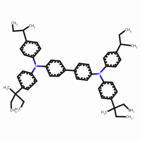 BCC(C)(CC)c1ccc(N(c2ccc(-c3ccc(N(c4ccc(C(C)CC)cc4)c4ccc(C(C)(CC)CC)cc4)cc3)cc2)c2ccc(C(C)CC)cc2)cc1